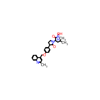 Cc1cc(COc2ccc(C3CCN(C(CC(C)C)C(=O)NO)C3=O)cc2)c2ccccc2n1